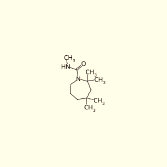 CNC(=O)N1CCCC(C)(C)CC1(C)C